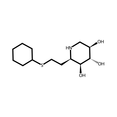 O[C@@H]1[C@@H](O)[C@@H](CCSC2CCCCC2)NC[C@H]1O